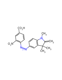 C=C1N(C)c2ccc(/N=N\c3ccc(C(=O)O)cc3[N+](=O)[O-])cc2C1(C)C